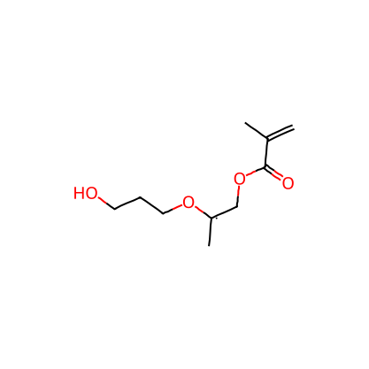 C=C(C)C(=O)OC[C](C)OCCCO